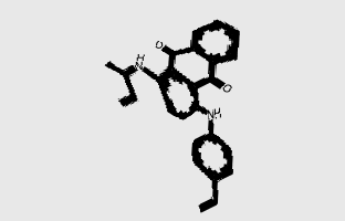 C=Cc1ccc(Nc2ccc(NC(C)CC)c3c2C(=O)c2ccccc2C3=O)cc1